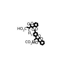 CCOC(=O)CC(c1ccc(C(=O)Oc2c(C(C)CC(=O)O)c(=O)oc3ccccc23)cc1)c1c(O)c2ccccc2oc1=O